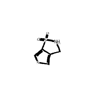 O=S1(=O)NCc2cscc21